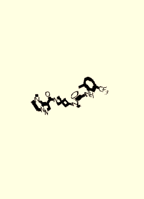 Cc1ccc(C(F)(F)F)cc1NC(=O)N(C)C1CC2(C1)CN(C(=O)c1cnn3ccn(C)c13)C2